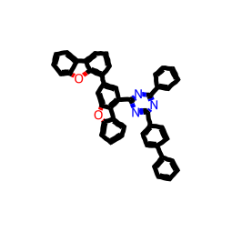 c1ccc(-c2ccc(-c3nc(-c4ccccc4)nc(-c4cc(-c5cccc6c5oc5ccccc56)cc5oc6ccccc6c45)n3)cc2)cc1